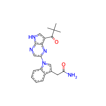 CC(C)(C)C(=O)c1c[nH]c2ncc(-n3cc(CC(N)=O)c4ccccc43)nc12